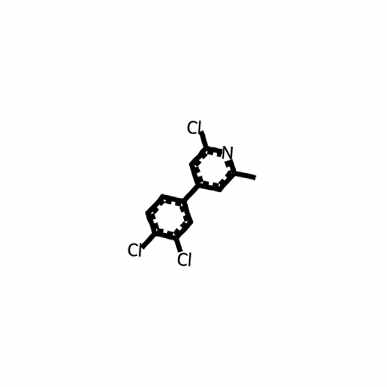 Cc1cc(-c2ccc(Cl)c(Cl)c2)cc(Cl)n1